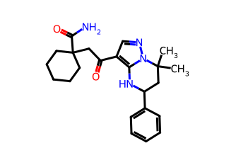 CC1(C)CC(c2ccccc2)Nc2c(C(=O)CC3(C(N)=O)CCCCC3)cnn21